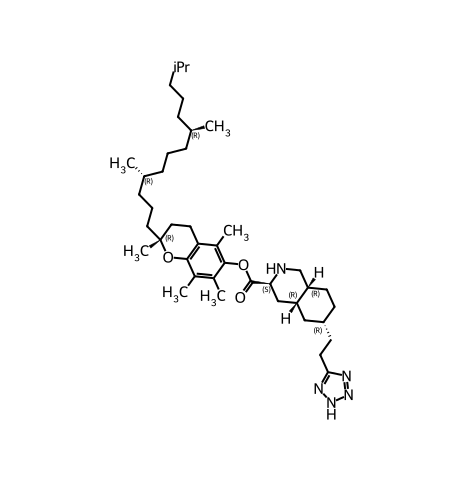 Cc1c(C)c2c(c(C)c1OC(=O)[C@@H]1C[C@H]3C[C@@H](CCc4nn[nH]n4)CC[C@H]3CN1)CC[C@@](C)(CCC[C@H](C)CCC[C@H](C)CCCC(C)C)O2